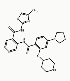 Cc1csc(NC(=O)c2ccncc2NC(=O)c2ccc(N3CCCC3)cc2OC2CCNCC2)n1